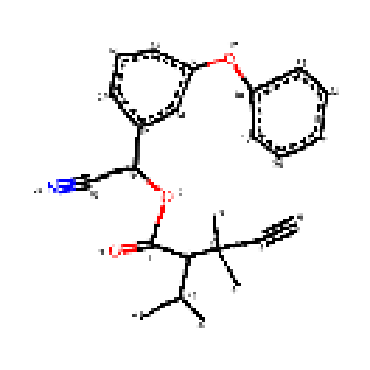 C#CC(C)(C)C(C(=O)OC(C#N)c1cccc(Oc2ccccc2)c1)C(C)C